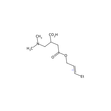 CC/C=C/COC(=O)CC(CN(C)C)C(=O)O